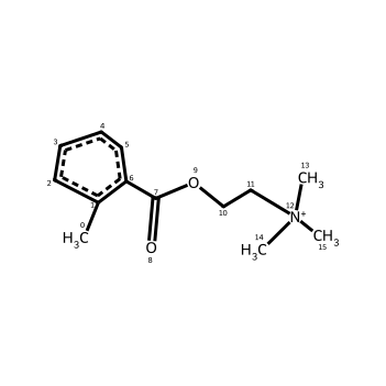 Cc1ccccc1C(=O)OCC[N+](C)(C)C